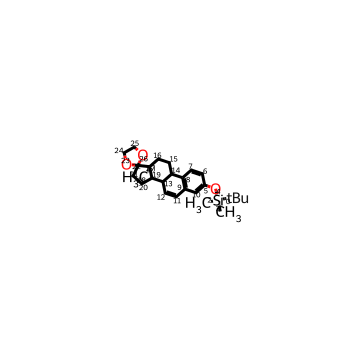 CC(C)(C)[Si](C)(C)Oc1ccc2c(c1)C=CC1C2CC[C@@]2(C)C1CCC21OCCO1